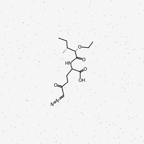 CCO[C@H](C(=O)NC(CCC(=O)C=[N+]=[N-])C(=O)O)[C@H](C)CC